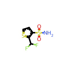 NS(=O)(=O)c1ccsc1C(F)F